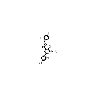 Nc1nc(-c2ccc(Cl)cc2F)nc(C(=O)OCc2ccc(F)cc2F)c1Cl